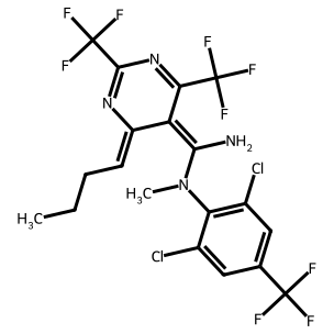 CCC/C=c1\nc(C(F)(F)F)nc(C(F)(F)F)\c1=C(/N)N(C)c1c(Cl)cc(C(F)(F)F)cc1Cl